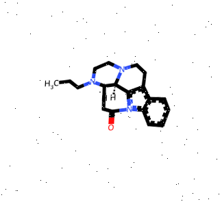 CCCN1CCN2CCc3c4n(c5ccccc35)C(=O)C[C@H]1[C@H]42